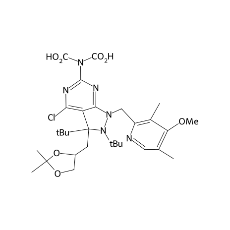 COc1c(C)cnc(CN2c3nc(N(C(=O)O)C(=O)O)nc(Cl)c3C(CC3COC(C)(C)O3)(C(C)(C)C)N2C(C)(C)C)c1C